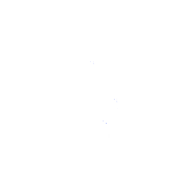 CCN(C)/C=N\c1cc(Cl)cc(N(C)c2ccccc2)c1C